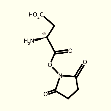 N[C@@H](CC(=O)O)C(=O)ON1C(=O)CCC1=O